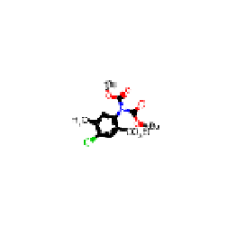 CCOC(=O)c1cc(Cl)c(C)cc1N(C(=O)OC(C)(C)C)C(=O)OC(C)(C)C